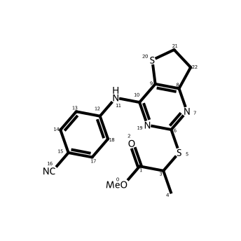 COC(=O)C(C)Sc1nc2c(c(Nc3ccc(C#N)cc3)n1)SCC2